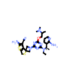 CCN(c1nc(OCC(C)N(C)C)nc(N2CC3(C2)SCc2sc(N)c(C#N)c23)n1)[C@H](C)c1cccnc1N